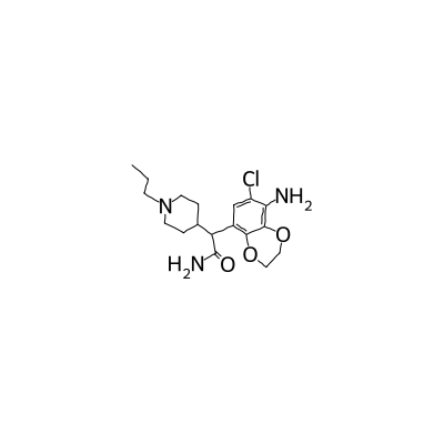 CCCN1CCC(C(C(N)=O)c2cc(Cl)c(N)c3c2OCCO3)CC1